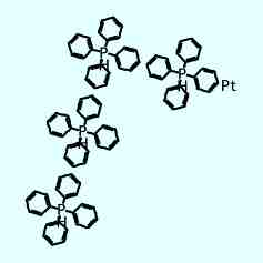 [Pt].c1ccc([PH](c2ccccc2)(c2ccccc2)c2ccccc2)cc1.c1ccc([PH](c2ccccc2)(c2ccccc2)c2ccccc2)cc1.c1ccc([PH](c2ccccc2)(c2ccccc2)c2ccccc2)cc1.c1ccc([PH](c2ccccc2)(c2ccccc2)c2ccccc2)cc1